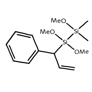 C=CC(c1ccccc1)[Si](OC)(OC)[Si](C)(C)OC